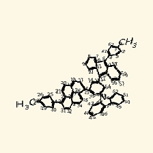 Cc1ccc(-c2c3ccccc3c(-c3cc(-c4ccc5ccc6c(-c7ccc(C)cc7)ccc7ccc4c5c76)cc(-n4c5ccccc5c5ccccc54)c3)c3ccccc23)cc1